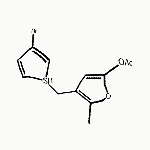 CC(=O)Oc1cc(C[SH]2C=CC(Br)=C2)c(C)o1